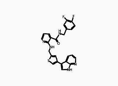 O=C(NCc1ccc(F)c(F)c1)c1cccnc1NCc1cc(-c2c[nH]c3ncccc23)cs1